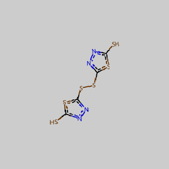 Sc1nnc(SSc2nnc(S)s2)s1